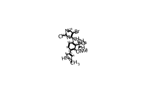 COc1c(C2=CN(C)NC2)ccc(Nc2nc(Cl)ncc2Br)c1P(C)(C)=O